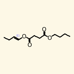 CC/C=C/OC(=O)CCC(=O)OCCCC